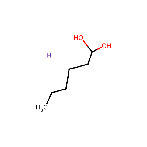 CCCCCC(O)O.I